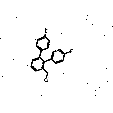 Fc1ccc(-c2cccc(CCl)c2-c2ccc(F)cc2)cc1